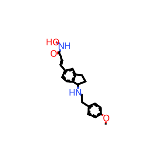 COc1ccc(CCNC2CCc3cc(C=CC(=O)NO)ccc32)cc1